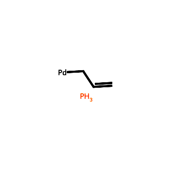 C=C[CH2][Pd].P